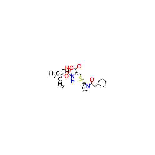 CC(C)(C)OC(=O)N[C@@H](CSC[C@H]1CCCN1C(=O)CC1CCCCC1)C(=O)O